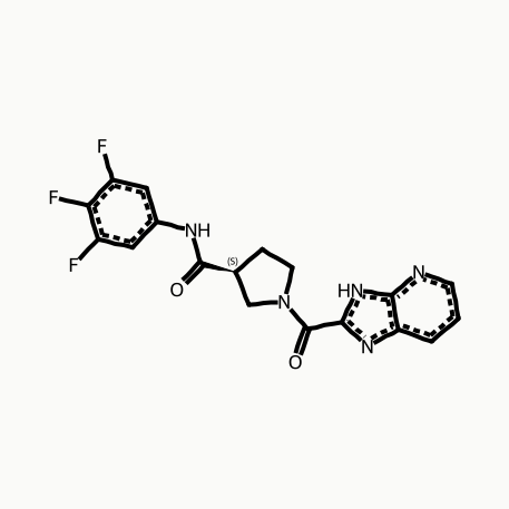 O=C(Nc1cc(F)c(F)c(F)c1)[C@H]1CCN(C(=O)c2nc3cccnc3[nH]2)C1